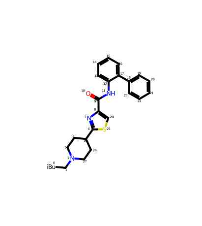 CCC(C)CN1CCC(c2nc(C(=O)Nc3ccccc3-c3ccccc3)cs2)CC1